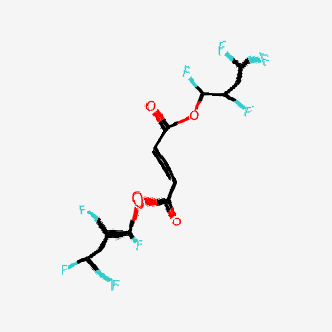 O=C(C=CC(=O)OC(F)C(F)C(F)F)OC(F)C(F)C(F)F